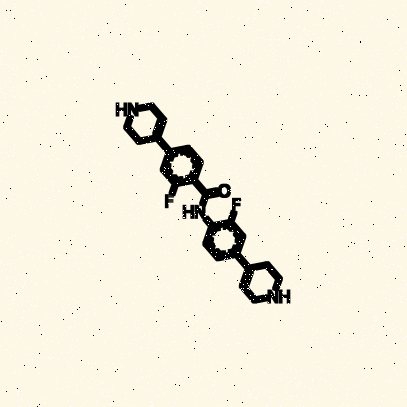 O=C(Nc1ccc(C2=CCNCC2)cc1F)c1ccc(C2=CCNCC2)cc1F